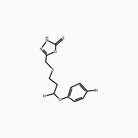 CCc1ccc(OC(CC)CCSCc2n[nH]c(=S)o2)cc1